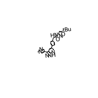 Cn1cc(-c2n[nH]c3ncc(-c4ccc(CC(=O)Nc5cc(C(C)(C)C)on5)cc4)cc23)cn1